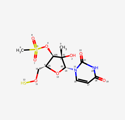 C[C@]1(O)[C@H](OS(C)(=O)=O)[C@@H](COS)O[C@H]1n1ccc(=O)[nH]c1=O